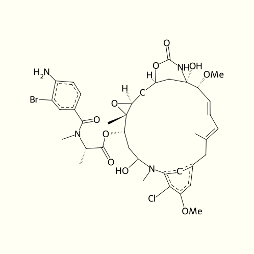 COc1cc2cc(c1Cl)N(C)C(O)C[C@H](OC(=O)[C@H](C)N(C)C(=O)c1ccc(N)c(Br)c1)[C@]1(C)O[C@H]1C[C@@H]1C[C@@](O)(NC(=O)O1)[C@H](OC)/C=C/C=C(\C)C2